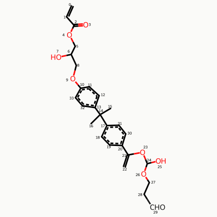 C=CC(=O)OCC(O)COc1ccc(C(C)(C)c2ccc(C(=C)OC(O)OCCC=O)cc2)cc1